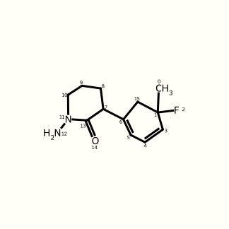 CC1(F)C=CC=C(C2CCCN(N)C2=O)C1